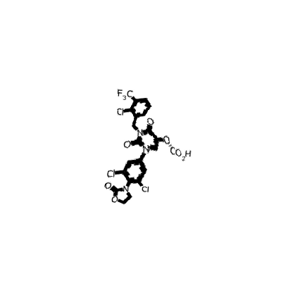 O=C(O)Oc1cn(-c2cc(Cl)c(N3CCOC3=O)c(Cl)c2)c(=O)n(Cc2cccc(C(F)(F)F)c2Cl)c1=O